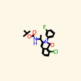 CC(NC(=O)OC(C)(C)C)c1cc2cccc(Cl)c2c(=O)n1-c1cccc(F)c1